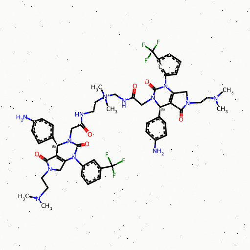 CN(C)CCN1CC2=C(C1=O)[C@@H](c1ccc(N)cc1)N(CC(=O)NCC[N+](C)(C)CNC(=O)CN1C(=O)N(c3cccc(C(F)(F)F)c3)C3=C(C(=O)N(CCN(C)C)C3)[C@H]1c1ccc(N)cc1)C(=O)N2c1cccc(C(F)(F)F)c1